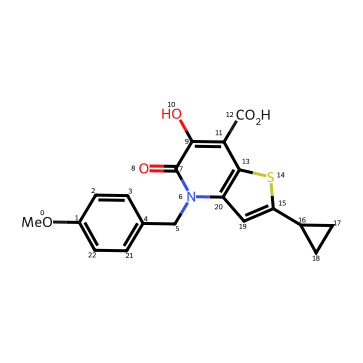 COc1ccc(Cn2c(=O)c(O)c(C(=O)O)c3sc(C4CC4)cc32)cc1